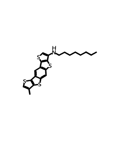 CCCCCCCCNc1csc2c1sc1cc3sc4c(C)csc4c3cc12